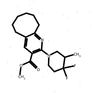 COC(=O)c1cc2c(nc1N1CCC(F)(F)C(C)C1)CCCCCC2